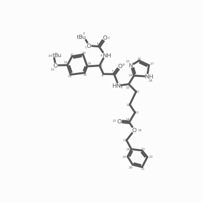 CC(C)(C)OC(=O)NC(CC(=O)NC(CCCC(=O)OCc1ccccc1)c1ncc[nH]1)c1ccc(OC(C)(C)C)cc1